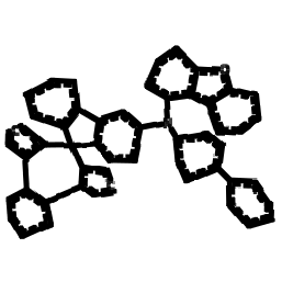 c1ccc(-c2ccc(N(c3ccc4c(c3)-c3ccccc3C43c4ccccc4-c4ccccc4-c4ccccc43)c3cccc4oc5ccccc5c34)cc2)cc1